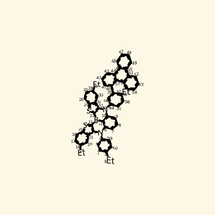 CCc1ccc(N2c3cccc4c3B(c3sc5ccc(CC)cc5c32)c2sc3ccc(CC)cc3c2N4c2ccc(CC)c(-c3cccc4c5ccccc5c5ccccc5c34)c2)cc1